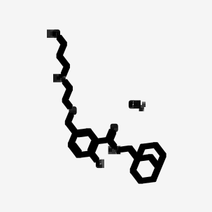 O=C(NCC12CCCC(CCC1)C2)c1cc(COCCNCCCO)ccc1Cl.[CH2]